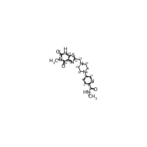 CNC(=O)c1ccc(N2CCN(Cc3nc4c(=O)n(C)c(=O)[nH]c4s3)CC2)cn1